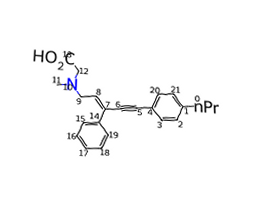 CCCc1ccc(C#C/C(=C/CN(C)CC(=O)O)c2ccccc2)cc1